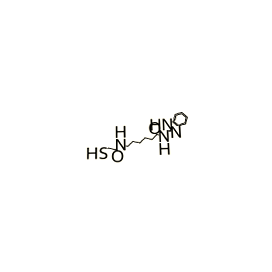 O=C(CS)NCCCCCC(=O)Nc1nc2ccccc2[nH]1